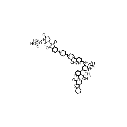 [2H]C([2H])([2H])Oc1ncc(-c2ccnc(N3CCc4c(sc5c4CCCC5)C3=O)c2[C@H](C)O)cc1Nc1ccc(N2CCN(C3CCN(c4ccc5c(c4)C(=O)N([C@H]4CCC(=O)N(COP(=O)(O)O)C4=O)C5=O)CC3)C[C@@H]2C)cn1